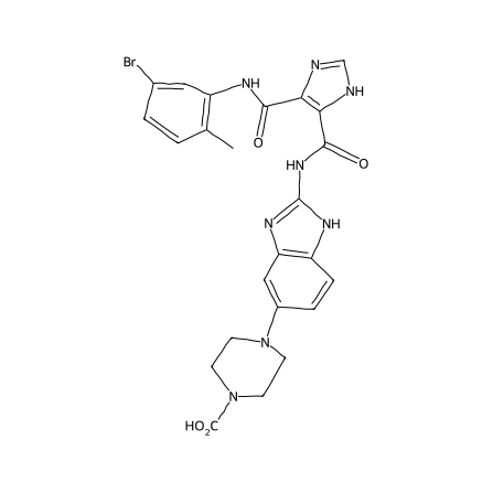 Cc1ccc(Br)cc1NC(=O)c1nc[nH]c1C(=O)Nc1nc2cc(N3CCN(C(=O)O)CC3)ccc2[nH]1